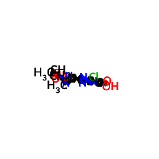 CN(Cc1cccc(-c2cnc(N3CCN(c4ccc(C(=O)O)cc4Cl)CC3)nc2)c1)C(=O)CNC(=O)OC(C)(C)C